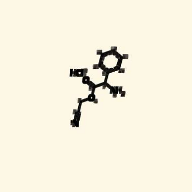 Cl.N#CCOC(=O)C(N)c1ccccc1